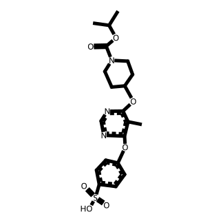 Cc1c(Oc2ccc(S(=O)(=O)O)cc2)ncnc1OC1CCN(C(=O)OC(C)C)CC1